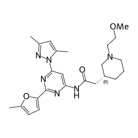 COCCN1CCC[C@H](CC(=O)Nc2cc(-n3nc(C)cc3C)nc(-c3ccc(C)o3)n2)C1